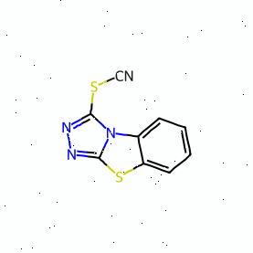 N#CSc1nnc2sc3ccccc3n12